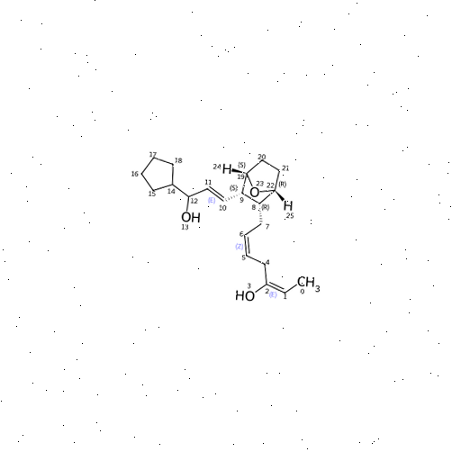 C/C=C(/O)C/C=C\C[C@@H]1[C@H](/C=C/C(O)C2CCCC2)[C@@H]2CC[C@H]1O2